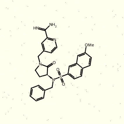 COc1ccc2ccc(S(=O)(=O)N(Cc3ccccc3)[C@H]3CCN(Cc4ccnc(C(=N)N)c4)C3=O)cc2c1